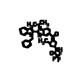 CC1CC(NC(=O)C(F)(F)F)CN1C(=O)c1ccc2c(c1)nc(-c1cc3ccccc3n1Cc1ccccc1)n2C(C)C